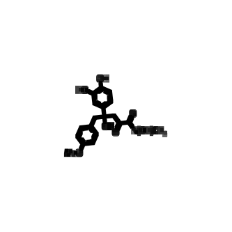 COc1ccc(CC(O)(CC(=O)C(=O)N(C)O)c2ccc(O)c(O)c2)cc1